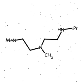 CNCCN(C)CCNC(C)C